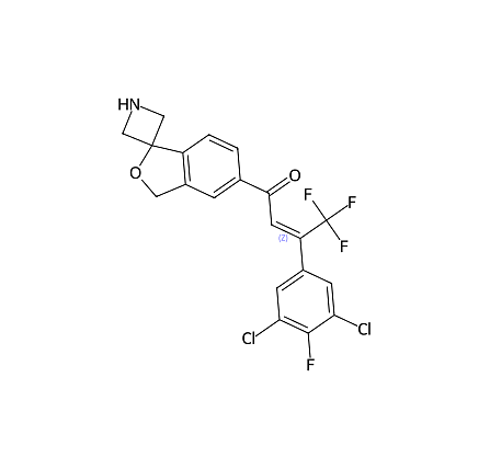 O=C(/C=C(/c1cc(Cl)c(F)c(Cl)c1)C(F)(F)F)c1ccc2c(c1)COC21CNC1